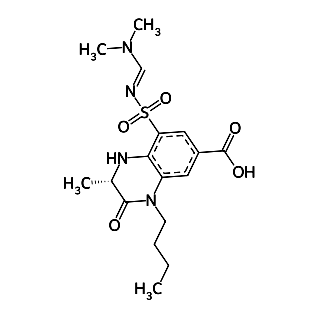 CCCCN1C(=O)[C@H](C)Nc2c1cc(C(=O)O)cc2S(=O)(=O)/N=C/N(C)C